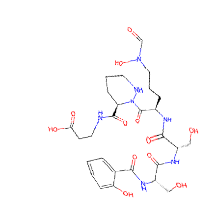 O=CN(O)CCC[C@@H](NC(=O)[C@H](CO)NC(=O)[C@H](CO)NC(=O)c1ccccc1O)C(=O)N1NCCC[C@@H]1C(=O)NCCC(=O)O